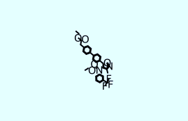 CCOC(=O)Cc1ccc(-c2ccc(-c3onc(C)c3N(C(=O)OCC)c3cccc(C(F)(F)F)c3)cc2)cc1